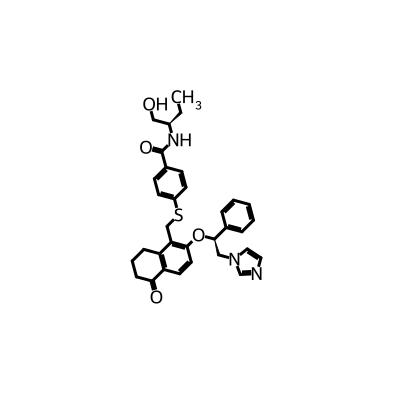 CC[C@H](CO)NC(=O)c1ccc(SCc2c(O[C@H](Cn3ccnc3)c3ccccc3)ccc3c2CCCC3=O)cc1